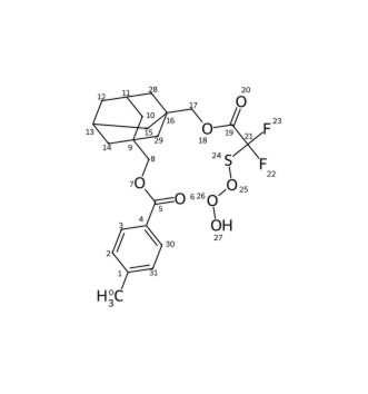 Cc1ccc(C(=O)OCC23CC4CC(C2)CC(COC(=O)C(F)(F)SOOO)(C4)C3)cc1